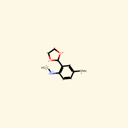 COc1ccc(NC(=O)O)c(C2OCCO2)c1